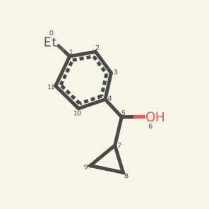 CCc1ccc(C(O)C2CC2)cc1